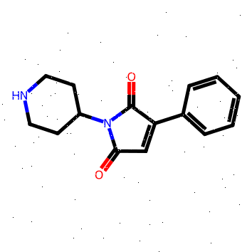 O=C1C=C(c2ccccc2)C(=O)N1C1CCNCC1